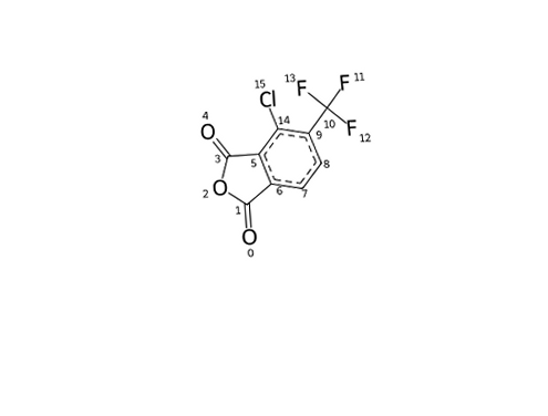 O=C1OC(=O)c2c1ccc(C(F)(F)F)c2Cl